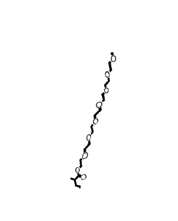 CCC(C)C(=O)OCCOCCOCCOCCOCCOCCOCCOC